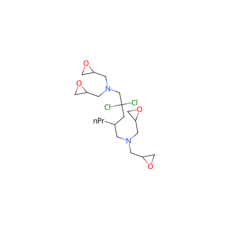 CCCC(CN(CC1CO1)CC1CO1)CC(Cl)(Cl)CN(CC1CO1)CC1CO1